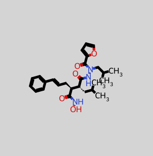 CC(C)C[C@@H](C(=O)NN(CC(C)C)C(=O)c1ccco1)[C@H](CC=Cc1ccccc1)C(=O)NO